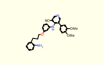 COc1ccc(-c2cncc(C#N)c2Nc2cccc(OCCCc3ccccc3N)c2)cc1OC